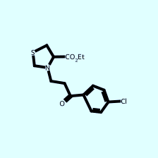 CCOC(=O)C1CSCN1CCC(=O)c1ccc(Cl)cc1